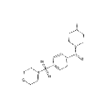 CC1CCN(C(=O)c2ccc(S(=O)(=O)N3CCOCC3)cc2)CC1